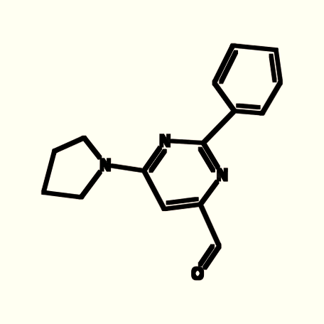 O=Cc1cc(N2CCCC2)nc(-c2ccccc2)n1